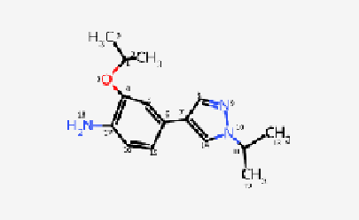 CC(C)Oc1cc(-c2cnn(C(C)C)c2)ccc1N